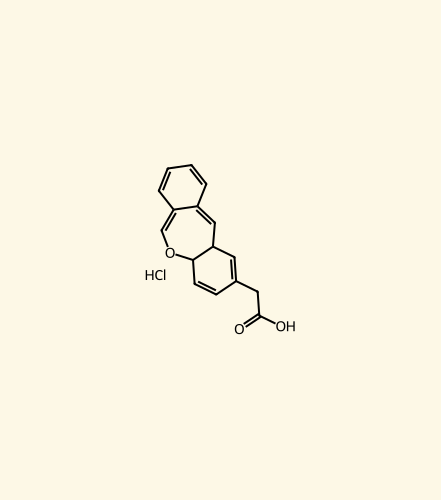 Cl.O=C(O)CC1=CC2C=c3ccccc3=COC2C=C1